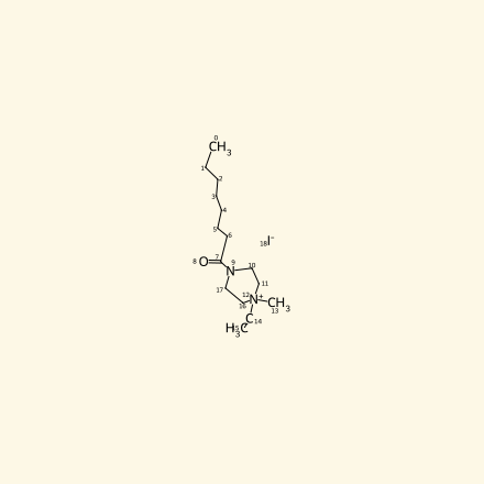 CCCCCCCC(=O)N1CC[N+](C)(CC)CC1.[I-]